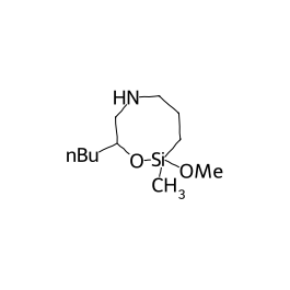 CCCCC1CNCCC[Si](C)(OC)O1